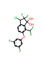 OC1(O)c2c(ccc(Oc3cc(F)cc(F)c3)c2C(F)F)C(Cl)C1(F)F